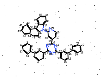 c1ccc(-c2cccc(-c3nc(-c4cccc(-c5ccccc5)c4)nc(-c4ccnc(-n5c6ccccc6c6c7ccccc7ccc65)c4)n3)c2)cc1